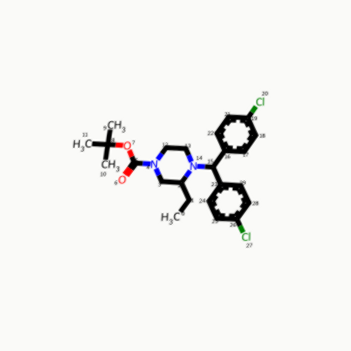 CCC1CN(C(=O)OC(C)(C)C)CCN1C(c1ccc(Cl)cc1)c1ccc(Cl)cc1